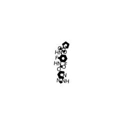 O=C(Nc1c(F)ccc(NS(=O)(=O)N2CCCC2)c1F)Oc1cnc2[nH]cnc2c1